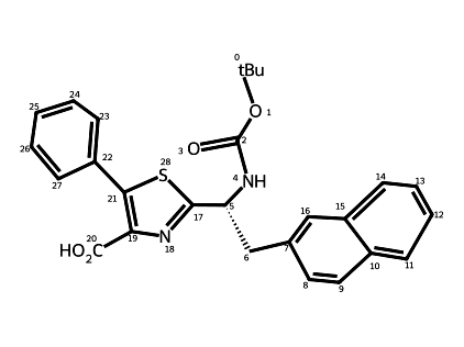 CC(C)(C)OC(=O)N[C@H](Cc1ccc2ccccc2c1)c1nc(C(=O)O)c(-c2ccccc2)s1